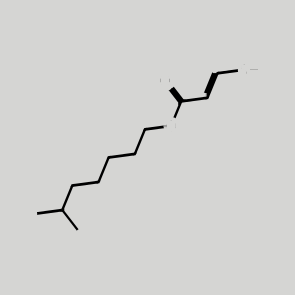 CC(C)CCCCCOC(=O)C=CS